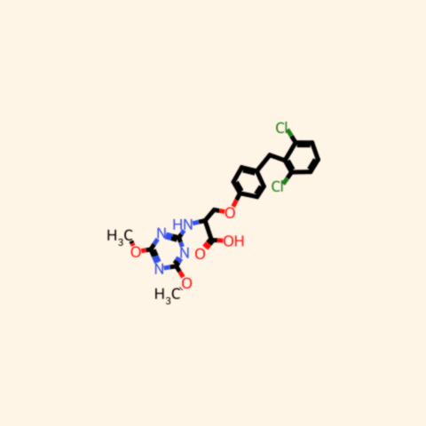 COc1nc(NC(COc2ccc(Cc3c(Cl)cccc3Cl)cc2)C(=O)O)nc(OC)n1